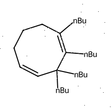 CCCC/C1=C(\CCCC)C(CCCC)(CCCC)/C=C\CCC1